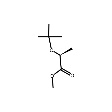 COC(=O)[C@H](C)OC(C)(C)C